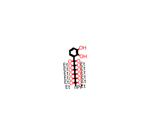 CCCC(OCC)(OCC)C(OCC)(OCC)C(OCC)(OCC)C(OCC)(OCC)C(OCC)(OCC)C(OCC)(OCC)c1cccc(O)c1O